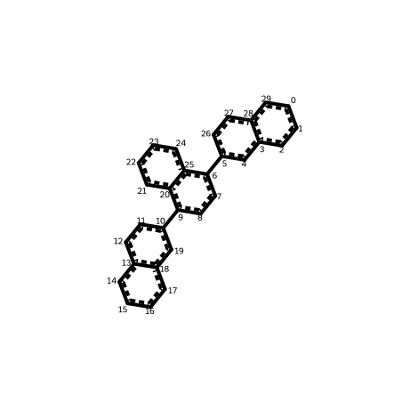 c1ccc2cc(-c3ccc(-c4ccc5ccccc5c4)c4ccccc34)ccc2c1